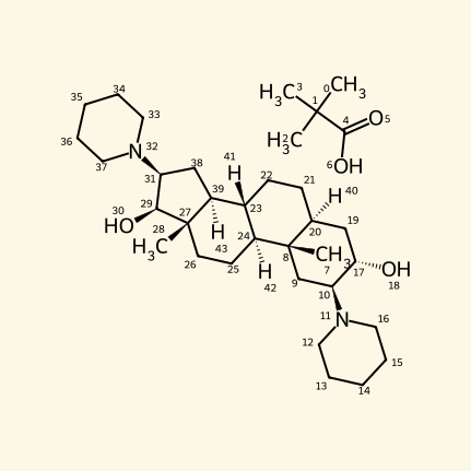 CC(C)(C)C(=O)O.C[C@]12C[C@H](N3CCCCC3)[C@@H](O)C[C@@H]1CC[C@@H]1[C@@H]2CC[C@]2(C)[C@@H](O)[C@@H](N3CCCCC3)C[C@@H]12